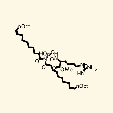 CCCCCCCC/C=C\CCCCCCCC(=O)N(C(=O)CCCCCCC/C=C\CCCCCCCC)P(=O)(O)ON[C@@H](CCCCNC(=N)N)C(=O)OC